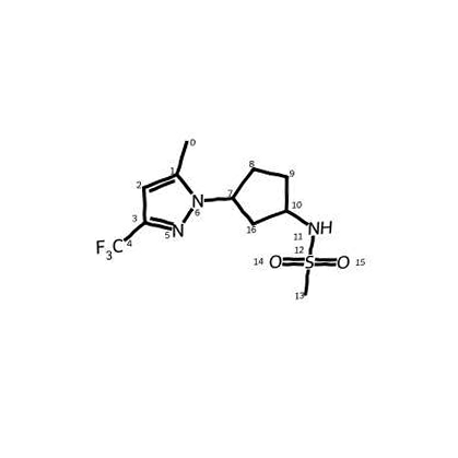 Cc1cc(C(F)(F)F)nn1C1CCC(NS(C)(=O)=O)C1